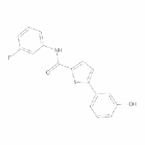 O=C(Nc1cccc(F)c1)c1ccc(-c2cccc(O)c2)s1